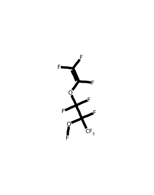 FOC(F)(C(F)(F)F)C(F)(F)OC(F)=C(F)F